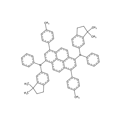 Cc1ccc(-c2cc(N(c3ccccc3)c3ccc4c(c3)C(C)(C)CC4)c3ccc4c(-c5ccc(C)cc5)cc(N(c5ccccc5)c5ccc6c(c5)C(C)(C)CC6)c5ccc2c3c45)cc1